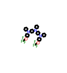 FC(F)=C(F)Oc1ccc(N(c2ccccc2)c2ccc(N(c3ccccc3)c3ccc(N(c4ccccc4)c4ccc(OC(F)=C(F)F)cc4)cc3)cc2)cc1